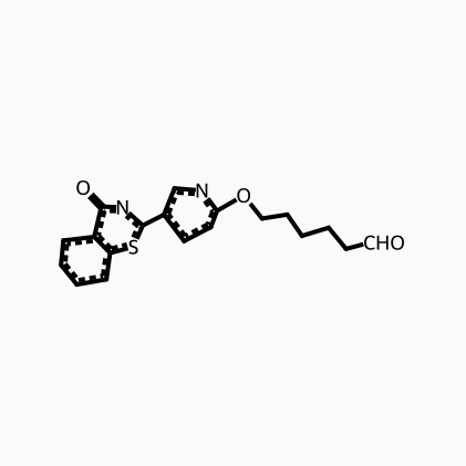 O=CCCCCCOc1ccc(-c2nc(=O)c3ccccc3s2)cn1